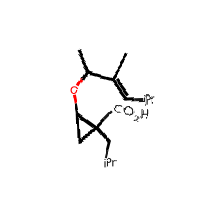 CC(=CC(C)C)C(C)OC1CC1(CC(C)C)C(=O)O